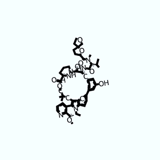 CCn1c(-c2cccnc2[C@H](C)OC)c2c3cc(ccc31)-c1cc(O)cc(c1)C[C@H](NC(=O)[C@H](C(C)C)N(C)C(=O)C1CCC3(CCOC3)O1)C(=O)N1CCC[C@H](N1)C(=O)OCC(C)(C)C2